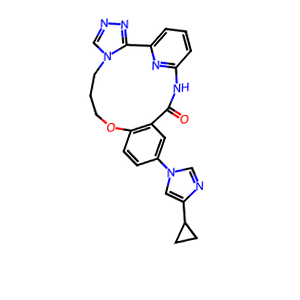 O=C1Nc2cccc(n2)-c2nncn2CCCOc2ccc(-n3cnc(C4CC4)c3)cc21